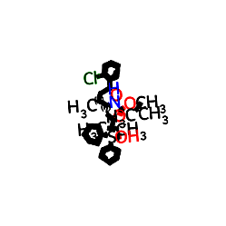 C[C@@H](CC(=O)c1ccccc1Cl)[C@@H](CCC(C)(C)[Si](O)(c1ccccc1)c1ccccc1)NC(=O)OC(C)(C)C